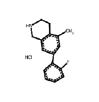 Cc1cc(-c2ccccc2F)cc2c1CCNC2.Cl